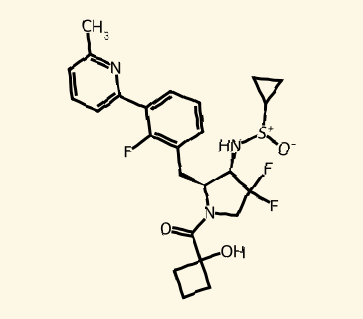 Cc1cccc(-c2cccc(C[C@H]3[C@@H](N[S+]([O-])C4CC4)C(F)(F)CN3C(=O)C3(O)CCC3)c2F)n1